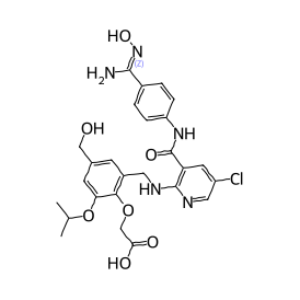 CC(C)Oc1cc(CO)cc(CNc2ncc(Cl)cc2C(=O)Nc2ccc(/C(N)=N/O)cc2)c1OCC(=O)O